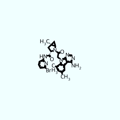 Cc1cc(C)c2c(c1)c1c(N)ncnc1n2CC(=O)N1C2C[C@]2(C)C[C@H]1C(=O)Nc1cccc(Br)n1